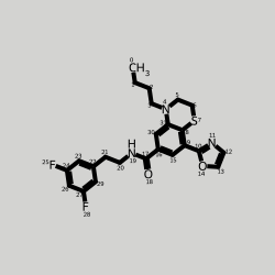 CCCCN1CCSc2c(-c3ncco3)cc(C(=O)NCCc3cc(F)cc(F)c3)cc21